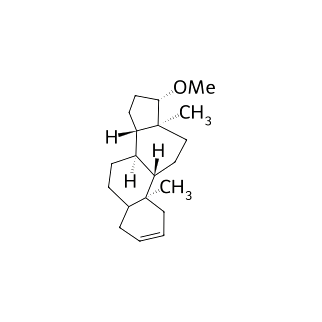 CO[C@H]1CC[C@H]2[C@@H]3CCC4CC=CC[C@]4(C)[C@H]3CC[C@]12C